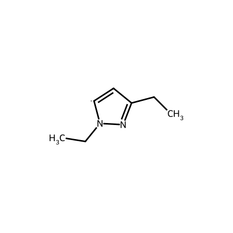 CCc1c[c]n(CC)n1